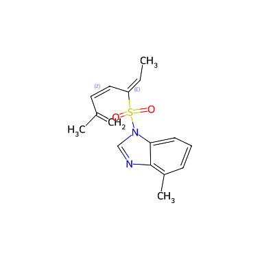 C=C(C)/C=C\C(=C/C)S(=O)(=O)n1cnc2c(C)cccc21